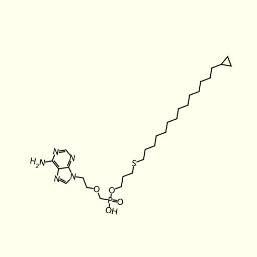 Nc1ncnc2c1ncn2CCOCP(=O)(O)OCCCSCCCCCCCCCCCCCCC1CC1